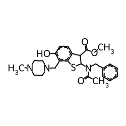 COC(=O)C1c2ccc(O)c(CN3CCN(C)CC3)c2SC1N(Cc1ccccc1)C(C)=O